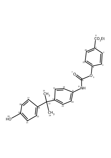 CCOC(=O)c1ccc(OC(=O)Nc2ccc(C(C)(C)c3ccc(O)cc3)cc2)cc1